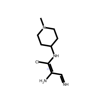 CN1CCC(N/C(Cl)=C(/N)C=N)CC1